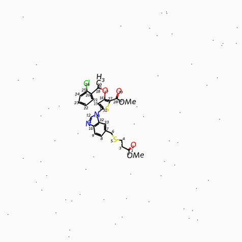 COC(=O)CCSCc1ccc2ncn(-c3cc(O[C@H](C)c4ccccc4Cl)c(C(=O)OC)s3)c2c1